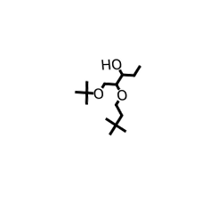 CCC(O)C(COC(C)(C)C)OCCC(C)(C)C